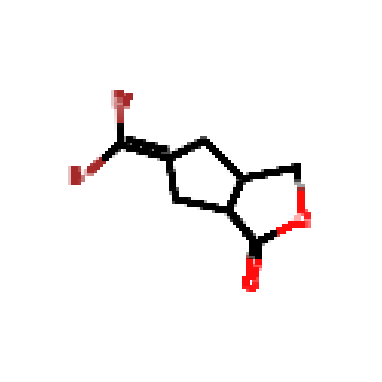 O=C1OCC2CC(=C(Br)Br)CC12